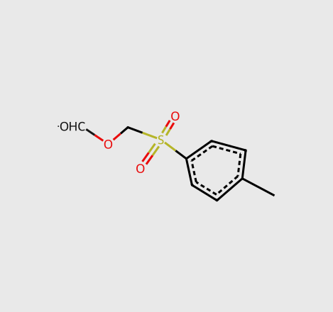 Cc1ccc(S(=O)(=O)CO[C]=O)cc1